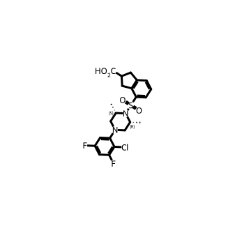 C[C@@H]1CN(c2cc(F)cc(F)c2Cl)C[C@H](C)N1S(=O)(=O)c1cccc2c1CC(C(=O)O)C2